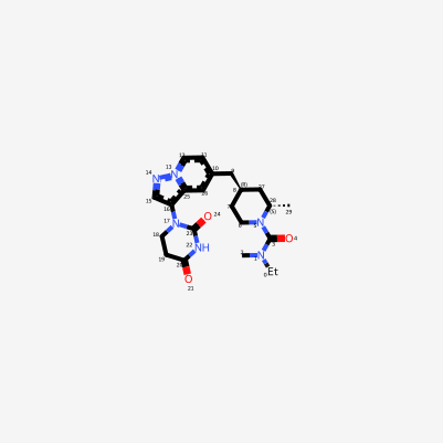 CCN(C)C(=O)N1CC[C@@H](Cc2ccn3ncc(N4CCC(=O)NC4=O)c3c2)C[C@@H]1C